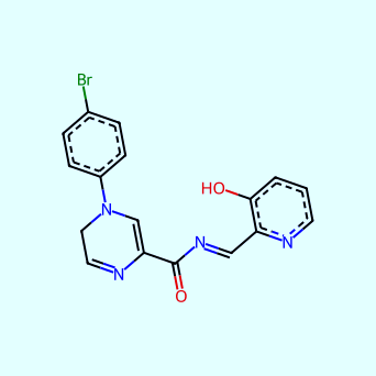 O=C(N=Cc1ncccc1O)C1=CN(c2ccc(Br)cc2)CC=N1